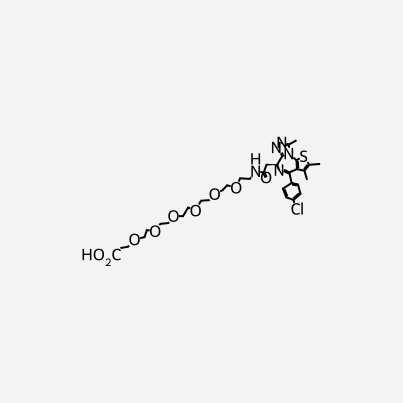 Cc1sc2c(c1C)C(c1ccc(Cl)cc1)=N[C@@H](CC(=O)NCCOCCOCCOCCOCCOCCOCCC(=O)O)c1nnc(C)n1-2